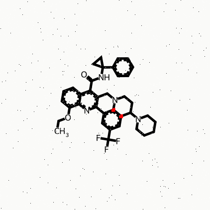 CCOc1cccc2c(C(=O)NC3(c4ccccc4)CC3)c(CN3CCC(N4CCCCC4)CC3)c(-c3cccc(C(F)(F)F)c3)nc12